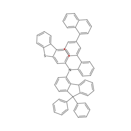 c1ccc(C2(c3ccccc3)c3ccccc3-c3c(N(c4ccc5c(c4)sc4ccccc45)c4ccccc4-c4cccc(-c5cccc6ccccc56)c4)cccc32)cc1